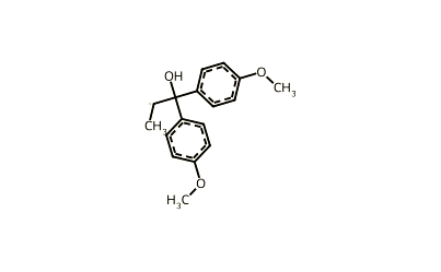 C[CH]C(O)(c1ccc(OC)cc1)c1ccc(OC)cc1